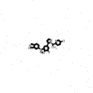 CC(c1ccc(Cl)cn1)n1nccc1-c1cc(F)c2nnn(-c3ccc4cn[nH]c4c3)c2c1